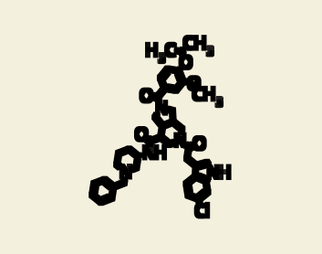 COc1cc(C(=O)N2CC3CN(C(=O)Cc4c[nH]c5cc(Cl)ccc45)CC(C(=O)N[C@H]4CCCN(Cc5ccccc5)C4)C3C2)ccc1OC(C)C